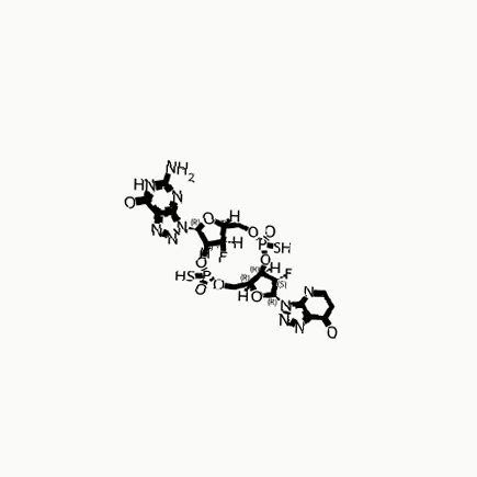 Nc1nc2c(nnn2[C@@H]2O[C@@H]3COP(=O)(S)O[C@H]4[C@H](F)[C@H](n5nnc6c5N=CCC6=O)O[C@@H]4COP(=O)(S)O[C@@H]2[C@@H]3F)c(=O)[nH]1